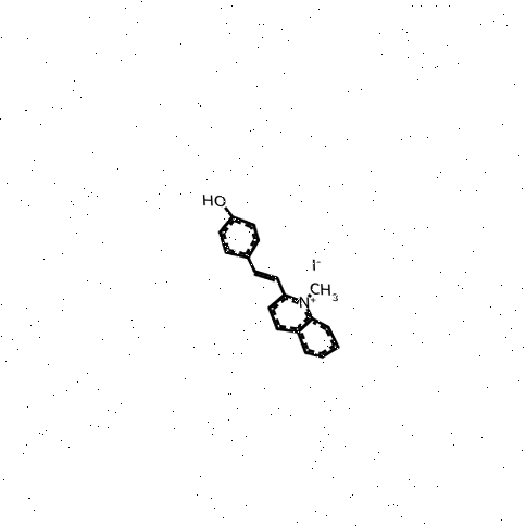 C[n+]1c(/C=C/c2ccc(O)cc2)ccc2ccccc21.[I-]